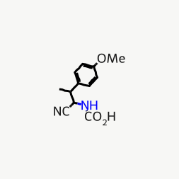 COc1ccc(C(C)C(C#N)NC(=O)O)cc1